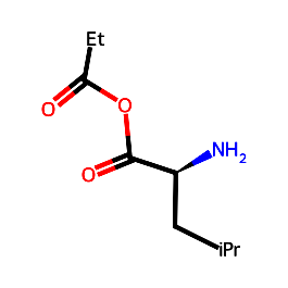 CCC(=O)OC(=O)[C@@H](N)CC(C)C